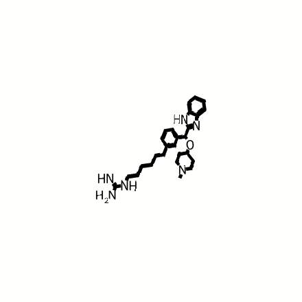 CN1CCC(OC(c2cccc(CCCCCCNC(=N)N)c2)c2nc3ccccc3[nH]2)CC1